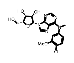 COc1cc(N(C)c2ncnc3c2ncn3[C@@H]2O[C@H](CO)[C@@H](O)[C@H]2O)ccc1Cl